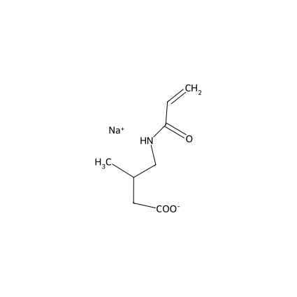 C=CC(=O)NCC(C)CC(=O)[O-].[Na+]